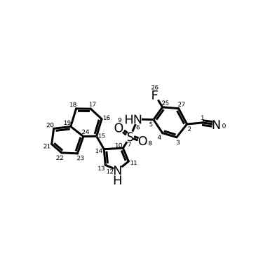 N#Cc1ccc(NS(=O)(=O)c2c[nH]cc2-c2cccc3ccccc23)c(F)c1